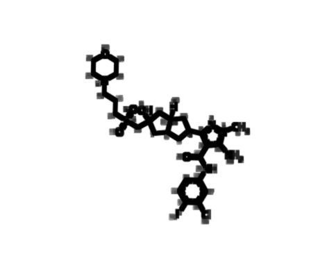 Cn1nc(C2CC3CC(O)(CS(=O)(=O)CCCN4CCOCC4)C[C@@H]3C2)c(C(=O)Nc2ccc(F)c(Cl)c2)c1N